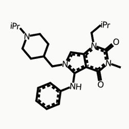 CC(C)Cn1c(=O)n(C)c(=O)c2c(Nc3ccccc3)n(CC3CCN(C(C)C)CC3)cc21